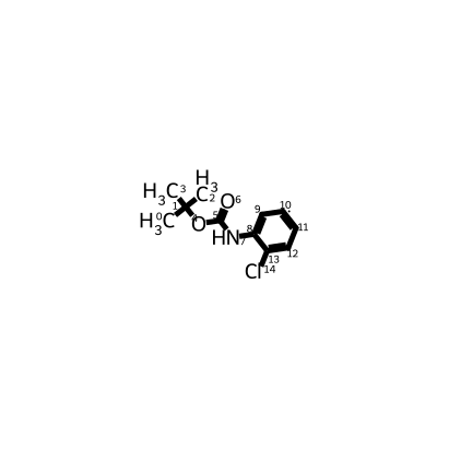 CC(C)(C)OC(=O)Nc1c[c]ccc1Cl